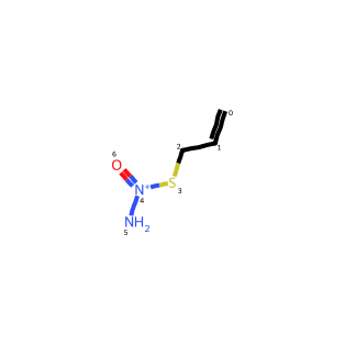 C=CCS[N+](N)=O